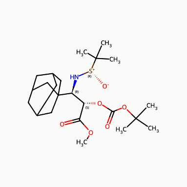 COC(=O)[C@@H](OC(=O)OC(C)(C)C)[C@H](N[S@@+]([O-])C(C)(C)C)C12CC3CC(CC(C3)C1)C2